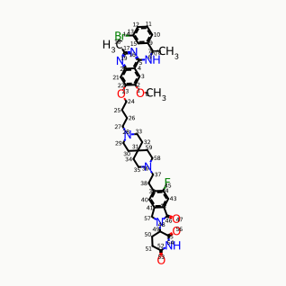 COc1cc2c(N[C@H](C)c3cccc(Br)c3)nc(C)nc2cc1OCCCCN1CCC2(CC1)CCN(CCc1cc3c(cc1F)C(=O)N(C1CCC(=O)NC1=O)C3)CC2